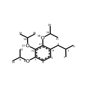 CC(C)Cc1ccc(OC(C)C)c(OC(C)C)c1OC(C)C